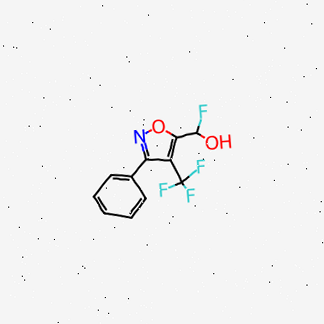 OC(F)c1onc(-c2ccccc2)c1C(F)(F)F